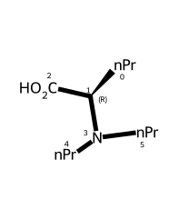 CCC[C@H](C(=O)O)N(CCC)CCC